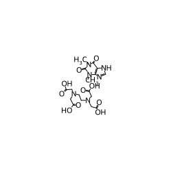 Cn1c(=O)c2[nH]cnc2n(C)c1=O.O=C(O)CN(CCN(CC(=O)O)CC(=O)O)CC(=O)O